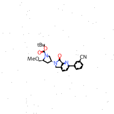 COC[C@@H]1C[C@@H](N2Cc3ccc(-c4cccc(C#N)c4)nc3C2=O)CN1C(=O)OC(C)(C)C